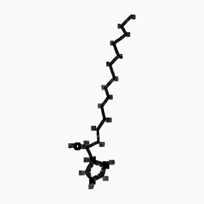 CCCCCCCCCCCCCC(=O)n1cncn1